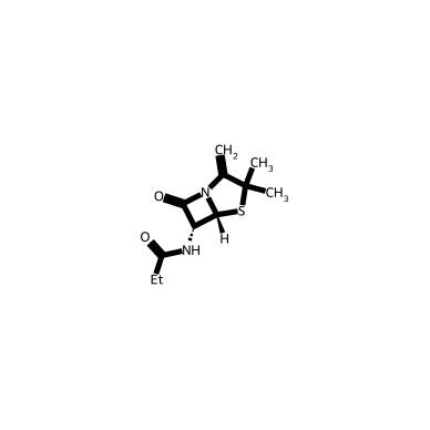 C=C1N2C(=O)[C@@H](NC(=O)CC)[C@H]2SC1(C)C